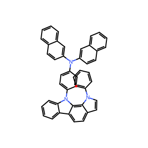 c1ccc(-n2ccc3ccc4c5ccccc5n(-c5ccc(N(c6ccc7ccccc7c6)c6ccc7ccccc7c6)cc5)c4c32)cc1